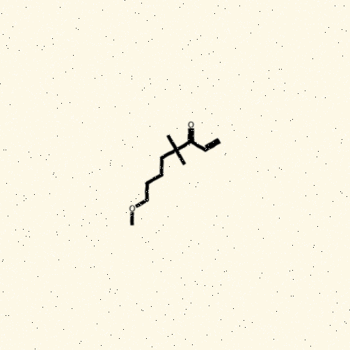 C=CC(=O)C(C)(C)CCCCOC